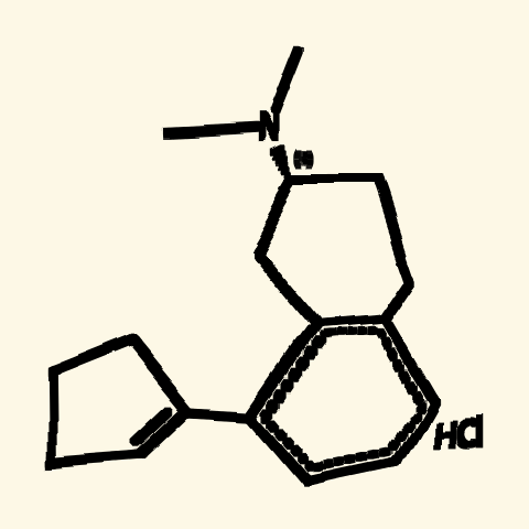 CN(C)[C@@H]1CCc2cccc(C3=CCCC3)c2C1.Cl